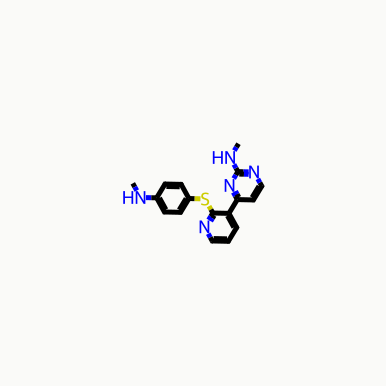 CNc1ccc(Sc2ncccc2-c2ccnc(NC)n2)cc1